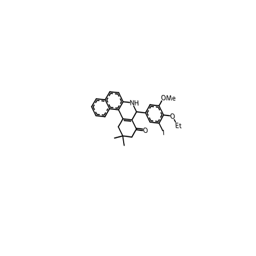 CCOc1c(I)cc(C2Nc3ccc4ccccc4c3C3=C2C(=O)CC(C)(C)C3)cc1OC